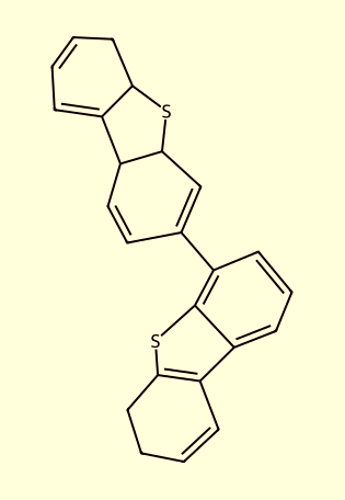 C1=CCC2SC3C=C(c4cccc5c6c(sc45)CCC=C6)C=CC3C2=C1